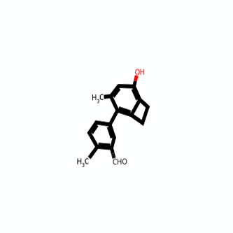 Cc1ccc(-c2c(C)cc(O)c3c2CC3)cc1C=O